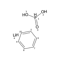 O=[PH](O)O.[LiH].c1ccccc1